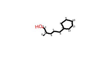 C[C@@H](CO)CCCC1CCCCC1